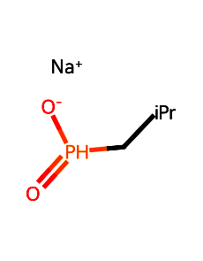 CC(C)C[PH](=O)[O-].[Na+]